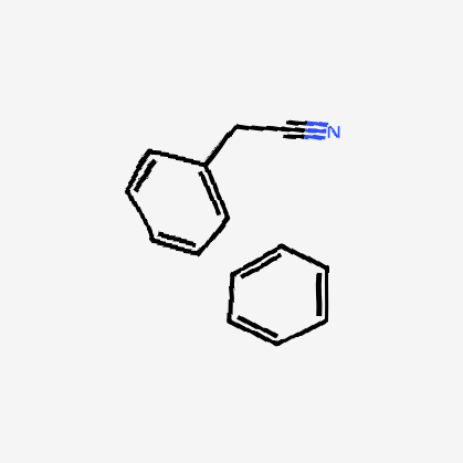 N#CCc1ccccc1.c1ccccc1